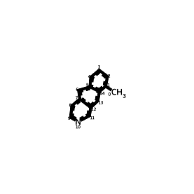 Cc1cccc2cc3ccncc3cc12